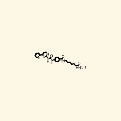 O=C(CCCCCCNC(=O)c1ccc(NC(=O)Nc2nccc(-c3ccccn3)n2)cc1)NO